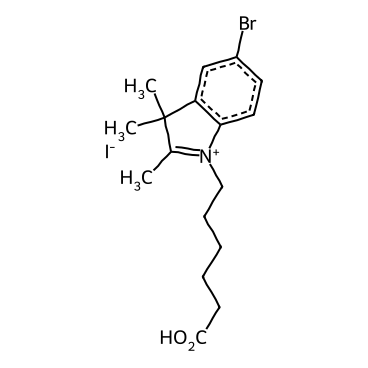 CC1=[N+](CCCCCC(=O)O)c2ccc(Br)cc2C1(C)C.[I-]